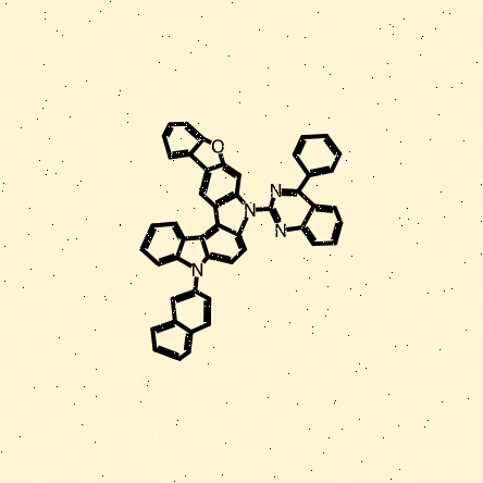 c1ccc(-c2nc(-n3c4cc5oc6ccccc6c5cc4c4c5c6ccccc6n(-c6ccc7ccccc7c6)c5ccc43)nc3ccccc23)cc1